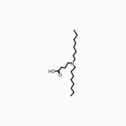 CCCCCCCCN(CCCCCCCC)CCCC(=O)O